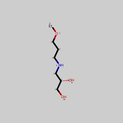 CCOCCCNC[C@H](O)CO